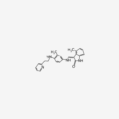 Cc1cc(NC=C2C(=O)Nc3cccc(C)c32)ccc1NCCc1ccccn1